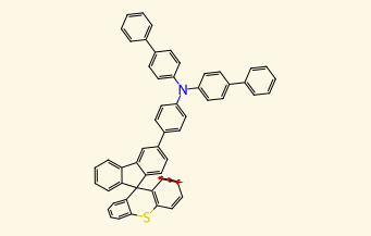 c1ccc(-c2ccc(N(c3ccc(-c4ccccc4)cc3)c3ccc(-c4ccc5c(c4)-c4ccccc4C54c5ccccc5Sc5ccc6ccccc6c54)cc3)cc2)cc1